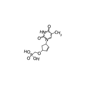 Cc1cn(C2C=CC(OCP(=O)(O)O)C2)c(=O)[nH]c1=O